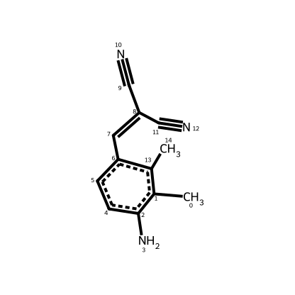 Cc1c(N)ccc(C=C(C#N)C#N)c1C